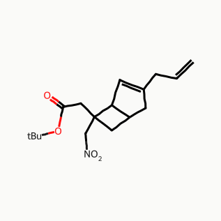 C=CCC1=CC2C(C1)CC2(CC(=O)OC(C)(C)C)C[N+](=O)[O-]